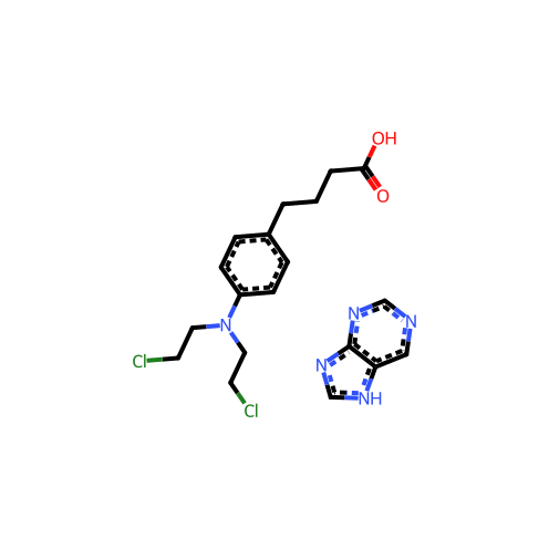 O=C(O)CCCc1ccc(N(CCCl)CCCl)cc1.c1ncc2[nH]cnc2n1